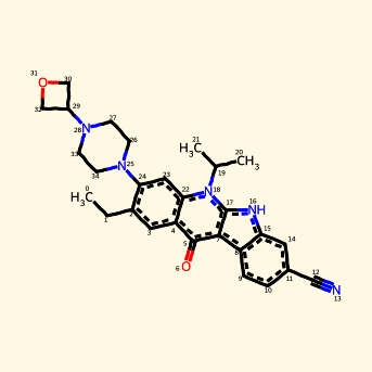 CCc1cc2c(=O)c3c4ccc(C#N)cc4[nH]c3n(C(C)C)c2cc1N1CCN(C2COC2)CC1